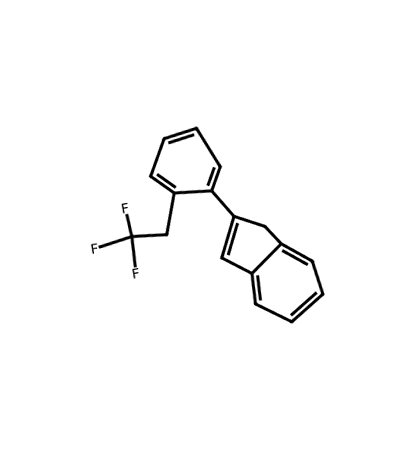 FC(F)(F)Cc1ccccc1C1=Cc2ccccc2C1